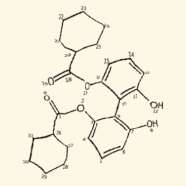 O=C(Oc1cccc(O)c1-c1c(O)cccc1OC(=O)C1CCCCC1)C1CCCCC1